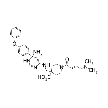 CN(C)CC=CC(=O)N1CCC(CNC2=CC(N)(c3ccc(Oc4ccccc4)cc3)NC=N2)(C(=O)O)CC1